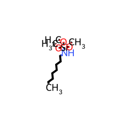 CCCCCCCCN[Si](OC)(OC)OC